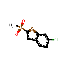 CS(=O)(=O)c1cc2ccc(Cl)cc2s1